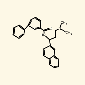 CN(C)CCC(NC(=O)c1cccc(-c2ccccc2)c1)c1ccc2ccccc2c1